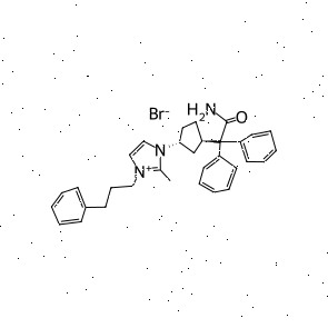 Cc1n([C@@H]2CC[C@@H](C(C(N)=O)(c3ccccc3)c3ccccc3)C2)cc[n+]1CCCc1ccccc1.[Br-]